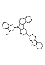 N#Cc1cc(-n2c3ccc(-c4ccc5c(c4)oc4ccccc45)cc3c3c4ccccc4ccc32)nc2ccccc12